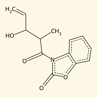 C=CC(O)C(C)C(=O)n1c(=O)oc2ccccc21